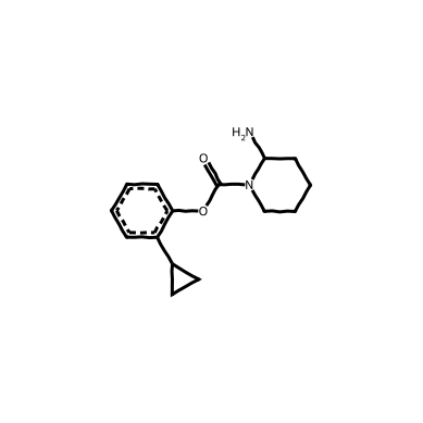 NC1CCCCN1C(=O)Oc1ccccc1C1CC1